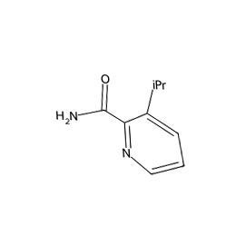 CC(C)c1cccnc1C(N)=O